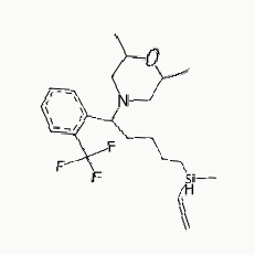 C=C[SiH](C)CCCCC(c1ccccc1C(F)(F)F)N1CC(C)OC(C)C1